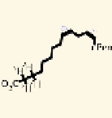 [2H]C([2H])(CCCCC/C=C\C/C=C\CCCCC)C([2H])([2H])C(=O)O